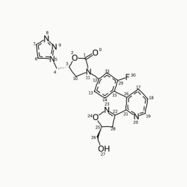 O=C1O[C@@H](Cn2ccnn2)CN1c1ccc(-c2cccnc2C2=NO[C@H](CO)C2)c(F)c1